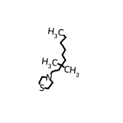 CCCCCCC(C)(C)CCN1CCSCC1